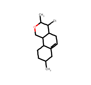 CCC1C(C)OCC2C3CCC(C)CC3=CCC12